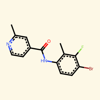 Cc1cc(C(=O)Nc2ccc(Br)c(F)c2C)ccn1